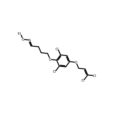 CCON=CCCCOc1c(Cl)cc(OCC=C(Cl)Cl)cc1Cl